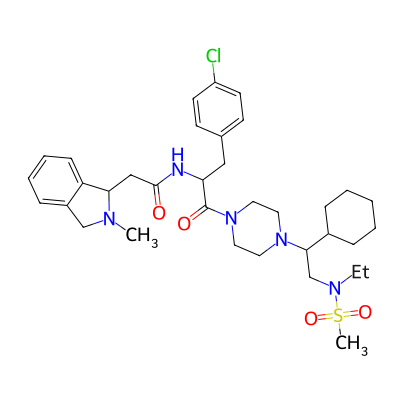 CCN(CC(C1CCCCC1)N1CCN(C(=O)C(Cc2ccc(Cl)cc2)NC(=O)CC2c3ccccc3CN2C)CC1)S(C)(=O)=O